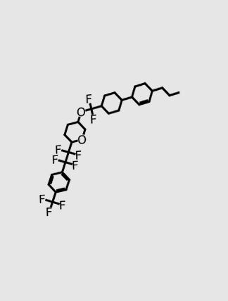 CCCC1C=CC(C2CCC(C(F)(F)OC3CCC(C(F)(F)C(F)(F)c4ccc(C(F)(F)F)cc4)OC3)CC2)CC1